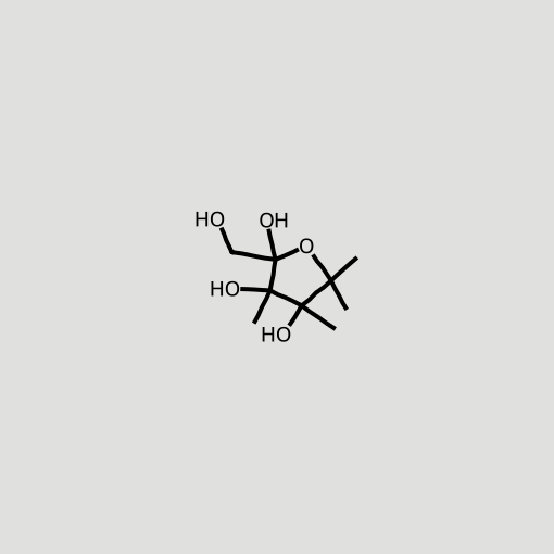 CC1(C)OC(O)(CO)C(C)(O)C1(C)O